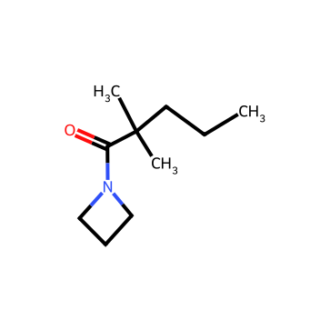 CCCC(C)(C)C(=O)N1CCC1